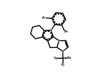 [2H]C([2H])([2H])N1C=CN2c3c(c4c(n3-c3c(C(C)C)cccc3C(C)C)CCCC4)CC21